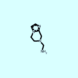 NCN1CCn2ccnc2C1